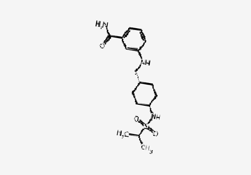 CC(C)S(=O)(=O)N[C@H]1CC[C@H](CNc2cccc(C(N)=O)c2)CC1